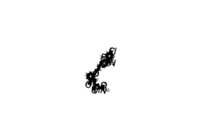 CNC(=O)CCC(C=O)N1Cc2c(OCCCN3CCC(C#N)(c4ccc(Cl)cc4F)CC3)cccc2C1=O